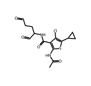 CC(=O)Nc1sc(C2CC2)c(Cl)c1C(=O)NC(C=O)CCC=O